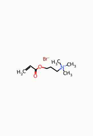 C=CC(=O)OCCC[N+](C)(C)C.[Br-]